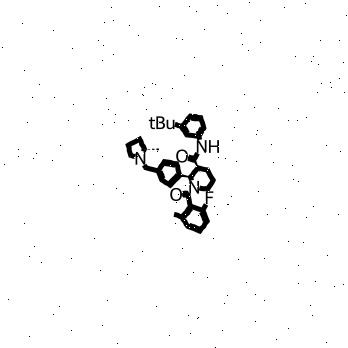 Cc1cccc(F)c1C(=O)N1CCC[C@H](C(=O)Nc2cccc(C(C)(C)C)c2)[C@@H]1c1ccc(CN2CCC[C@@H]2C)cc1